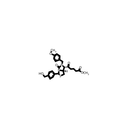 COC(=O)CCCC(=O)[C@H]1[C@@H]2CSC(c3ccc(CO)cc3)N2C(=O)N1Cc1ccc(OC)cc1